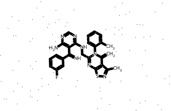 C=C1c2c(C)nsc2N=C(CNc2ncnc(N)c2C(=N)c2cccc(F)c2)N1c1ccccc1C